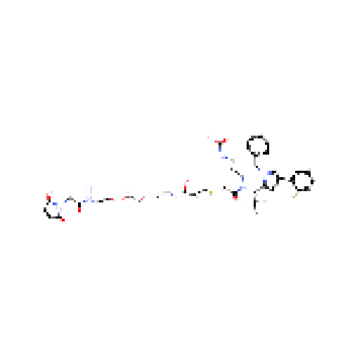 CC(C)(C)[C@H](c1cc(-c2cc(F)ccc2F)cn1Cc1ccccc1)N(CCCNC(=O)O)C(=O)CSCCC(=O)NCCOCCOCCNC(=O)CN1C(=O)C=CC1=O